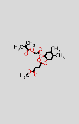 C=C(C)C(=O)OCC(=O)OC1CC(C)[C@@H](C)CC1OC(=O)CCC(=O)OC